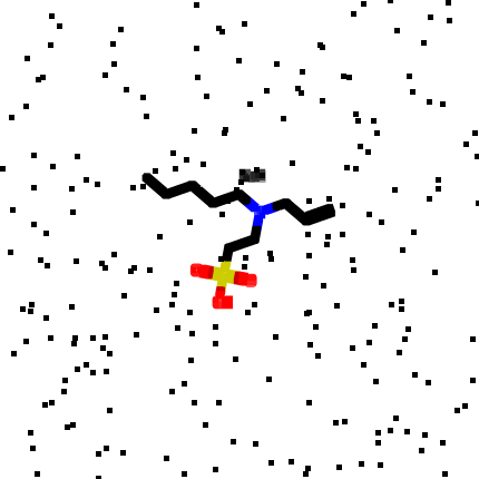 C=CCN(CCCCC)CCS(=O)(=O)O.[NaH]